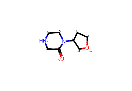 O=C1CNCCN1C1CCOC1